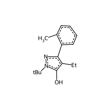 CCc1c(-c2ccccc2C)nn(C(C)(C)C)c1O